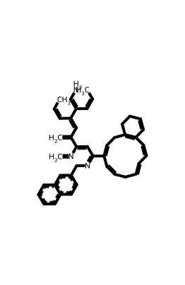 C=N\C(=C/C(=N\Cc1ccc2ccccc2c1)C1=C/CC2=C(C=CCC2)/C=C\C=C\C/C=C\1)C(=C)/C=C(\C=C/C)C(/C=C\C)=C/N